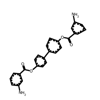 Nc1cccc(C(=O)Oc2ccc(-c3ccc(OC(=O)c4cccc(N)c4)cc3)cc2)c1